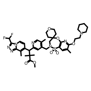 COC(=O)C(C)(C)C(c1cc(CN2CC3(CCOCC3)Oc3nc(OCCN4CCCCC4)c(C)cc3S2(=O)=O)c(C)cn1)c1ccn2c(C(F)F)nnc2c1C